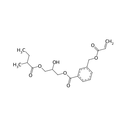 C=CC(=O)OCc1cccc(C(=O)OCC(O)COC(=O)C(C)CC)c1